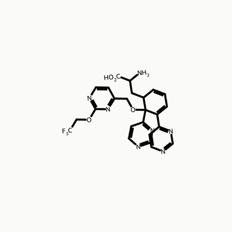 NC(CC1C=CC=C(c2ccncn2)C1(OCc1ccnc(OCC(F)(F)F)n1)c1ccncn1)C(=O)O